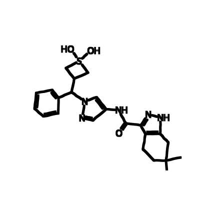 CC1(C)CCc2c(C(=O)Nc3cnn(C(c4ccccc4)C4CS(O)(O)C4)c3)n[nH]c2C1